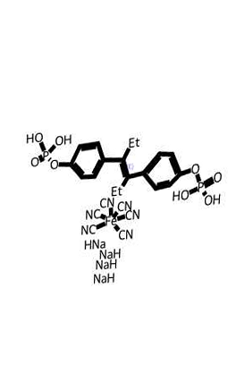 CC/C(=C(/CC)c1ccc(OP(=O)(O)O)cc1)c1ccc(OP(=O)(O)O)cc1.N#[C][Fe]([C]#N)([C]#N)([C]#N)([C]#N)[C]#N.[NaH].[NaH].[NaH].[NaH]